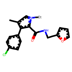 CCn1cc(C)c(-c2ccc(Cl)cc2)c1C(=O)NCc1ccco1